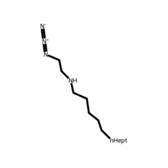 CCCCCCCCCCCCNCCN=[N+]=[N-]